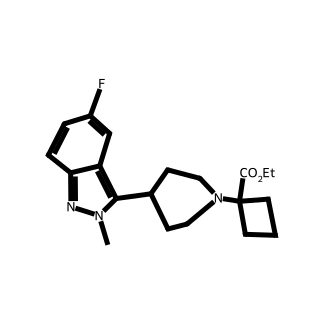 CCOC(=O)C1(N2CCC(c3c4cc(F)ccc4nn3C)CC2)CCC1